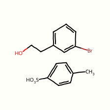 Cc1ccc(S(=O)(=O)O)cc1.OCCc1cccc(Br)c1